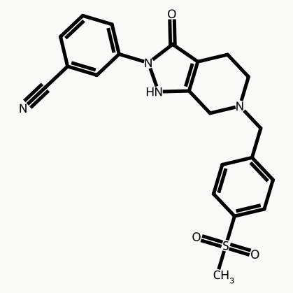 CS(=O)(=O)c1ccc(CN2CCc3c([nH]n(-c4cccc(C#N)c4)c3=O)C2)cc1